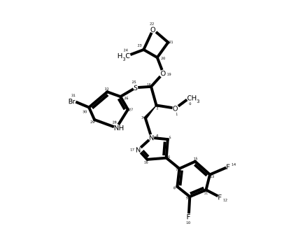 CO[C@@H](Cn1cc(-c2cc(F)c(F)c(F)c2)cn1)C(OC1COC1C)SC1=CNCC(Br)=C1